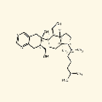 CC(C)CCC[C@@H](C)[C@H]1CC[C@H]2[C@H](CO)[C@@H]([C@@]3(C)Cc4cncnc4C[C@@H]3CO)CC[C@]12C